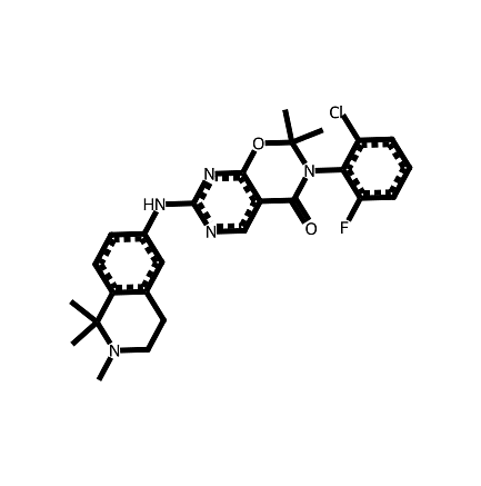 CN1CCc2cc(Nc3ncc4c(n3)OC(C)(C)N(c3c(F)cccc3Cl)C4=O)ccc2C1(C)C